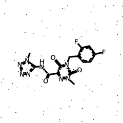 Cn1nnnc1NC(=O)c1nn(C)c(=O)n(Cc2ccc(F)cc2F)c1=O